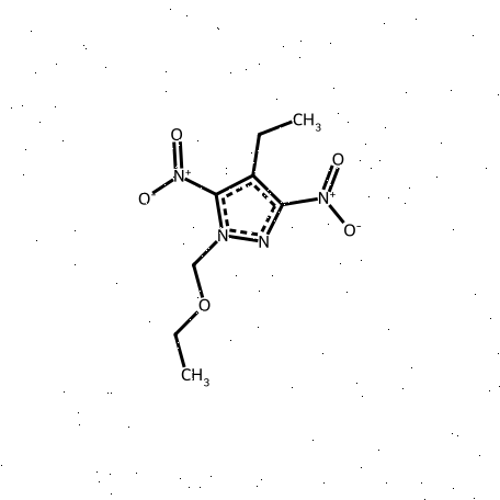 CCOCn1nc([N+](=O)[O-])c(CC)c1[N+](=O)[O-]